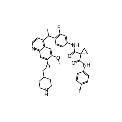 COc1cc2c(C(C)c3ccc(NC(=O)C4(C(=O)Nc5ccc(F)cc5)CC4)cc3F)ccnc2cc1OCC1CCNCC1